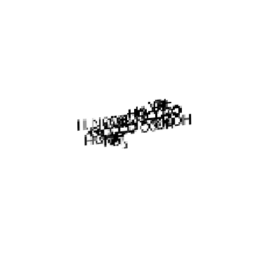 CO[C@H]1[C@H]2[C@H](N)C(O)=C(C(N)=O)C(=O)[C@@]2(O)C(O)=C2C(=O)c3c(ccc(NC(=O)C4=C(O)[C@@H](N)[C@@H]5[C@H](O)[C@@H]6Cc7cccc(O)c7C(=O)C6=C(O)[C@]5(O)C4=O)c3O)C[C@H]21